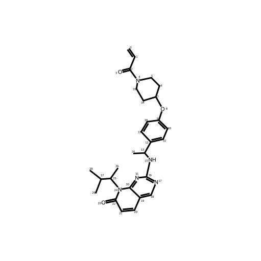 C=CC(=O)N1CCC(Oc2ccc(C(C)Nc3ncc4ccc(=O)n(C(C)C(C)C)c4n3)cc2)CC1